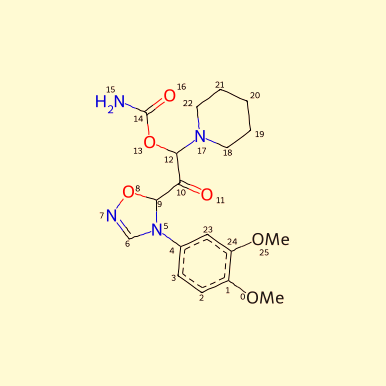 COc1ccc(N2C=NOC2C(=O)C(OC(N)=O)N2CCCCC2)cc1OC